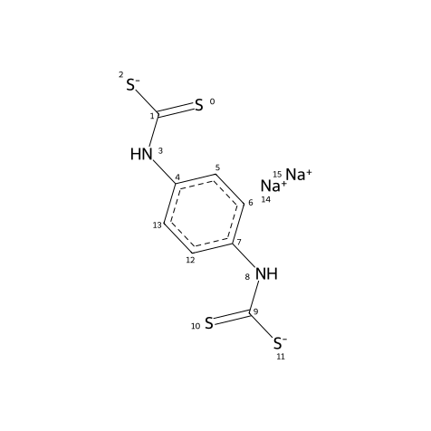 S=C([S-])Nc1ccc(NC(=S)[S-])cc1.[Na+].[Na+]